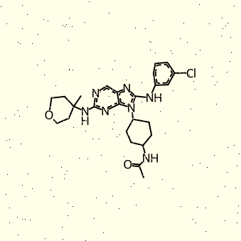 CC(=O)NC1CCC(n2c(Nc3cccc(Cl)c3)nc3cnc(NC4(C)CCOCC4)nc32)CC1